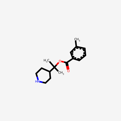 Cc1cccc(C(=O)OC(C)(C)C2CCNCC2)c1